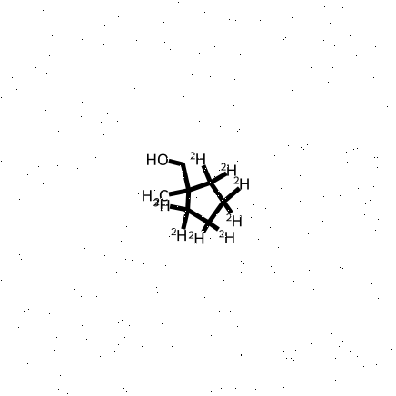 [2H]C1([2H])C([2H])([2H])C([2H])([2H])C(C)(CO)C1([2H])[2H]